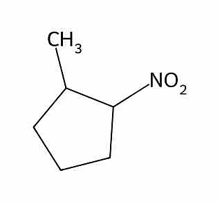 CC1CCCC1[N+](=O)[O-]